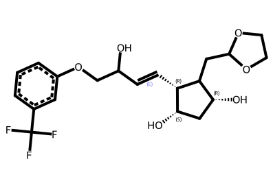 OC(/C=C/[C@@H]1C(CC2OCCO2)[C@H](O)C[C@@H]1O)COc1cccc(C(F)(F)F)c1